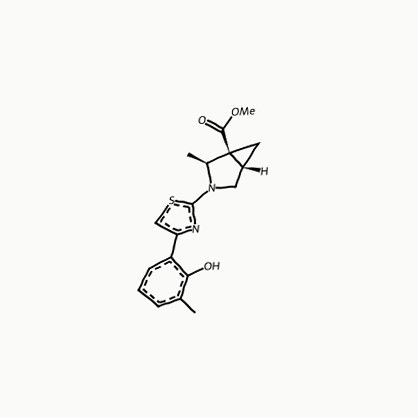 COC(=O)[C@@]12C[C@@H]1CN(c1nc(-c3cccc(C)c3O)cs1)[C@H]2C